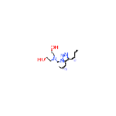 C=C/C=C\c1nnn(CN(CCO)CCO)c1/C=C\C